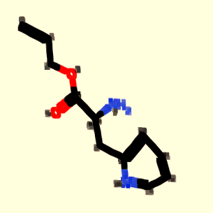 C=CCOC(=O)[C@@H](N)Cc1ccccn1